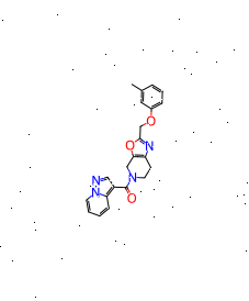 Cc1cccc(OCc2nc3c(o2)CN(C(=O)c2cnn4ccccc24)CC3)c1